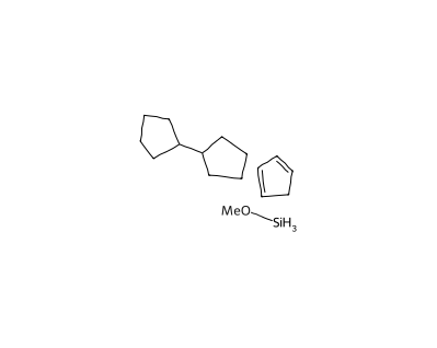 C1=CCC=C1.C1CCC(C2CCCC2)C1.CO[SiH3]